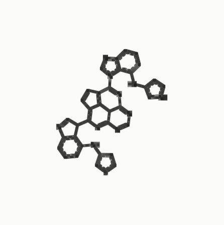 C1=CC2=C(C3C=Nc4cccc(Nc5ccsc5)c43)N=C3N=CN=C4N=C(n5cnc6cccc(Nc7cc[nH]c7)c65)C1=C2C43